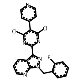 Fc1ccccc1Cn1nc(-c2nc(Cl)c(-c3ccncc3)c(Cl)n2)c2cccnc21